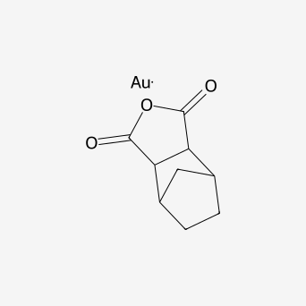 O=C1OC(=O)C2C3CCC(C3)C12.[Au]